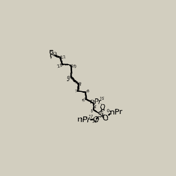 CCCO[Si](CCCCCCCCCCF)(OCCC)OCCC